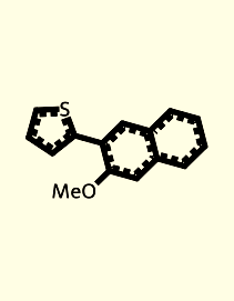 COc1cc2ccccc2cc1-c1cccs1